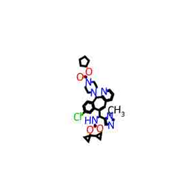 Cn1cncc1C(NC(=O)OC1(C2CC2)CC1)C1=Cc2cccnc2C(N2CCN(C(=O)OC3CCCC3)CC2)c2ccc(Cl)cc21